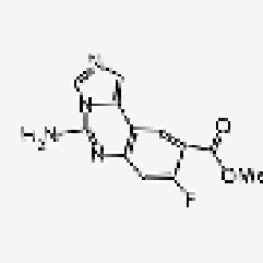 COC(=O)c1cc2c(cc1F)nc(N)n1cncc21